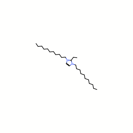 CCCCCCCCCCCN1C=CN(CCCCCCCCCCC)C1CC